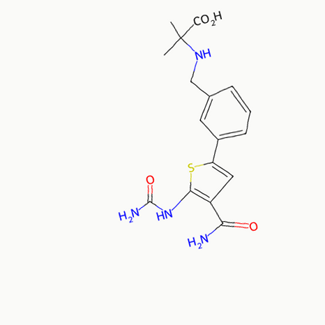 CC(C)(NCc1cccc(-c2cc(C(N)=O)c(NC(N)=O)s2)c1)C(=O)O